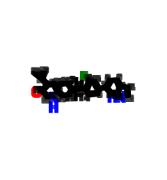 [2H]C([2H])(c1ccc(-c2ccc3cc[nH]c3c2)cc1F)C1CCC2(CC1)CC(C1CC1)C(=O)CN2